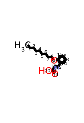 CCCCCCCCCOc1ccccc1/C=C/C(=O)O